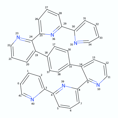 c1ccc(-c2cccc(-c3ncccc3-c3ccc(-c4cccnc4-c4cccc(-c5ccccn5)n4)cc3)n2)nc1